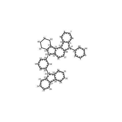 c1ccc(-n2c3ccccc3c3c4c5c(n(-c6cccc(-n7c8ccccc8c8ccccc87)c6)c4ccc32)CCCC5)cc1